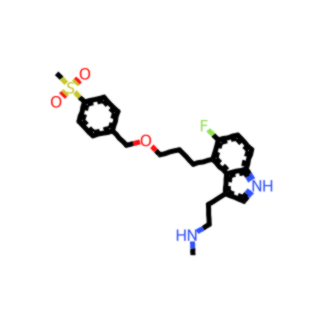 CNCCc1c[nH]c2ccc(F)c(CCCOCc3ccc(S(C)(=O)=O)cc3)c12